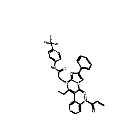 C=CC(=O)Nc1ccccc1-c1c(CC)n(CC(=O)Nc2ccc(C(F)(F)F)cc2)c2nc(-c3ccccc3)cn2c1=O